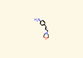 Nc1ccc(/C=C/CN2CCOCC2)cc1